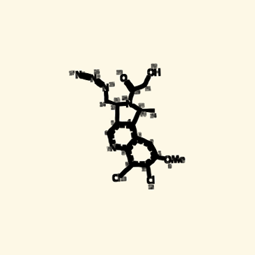 COc1cc2c3c(cnc2c(Cl)c1Cl)[C@@H](CN=[N+]=[N-])N(C(=O)CO)[C@H]3C